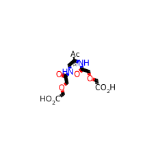 CC(=O)[C@H](CNC(=O)COCC(=O)O)NC(=O)COCC(=O)O